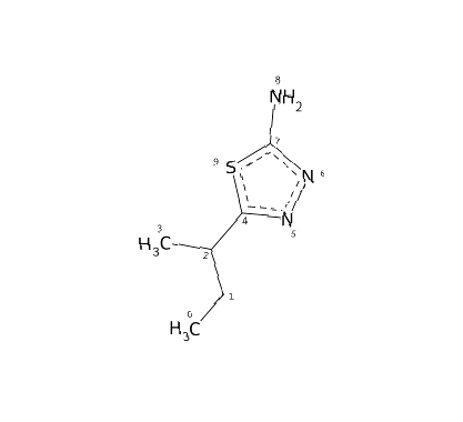 CCC(C)c1nnc(N)s1